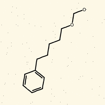 [O]COCCCCCc1ccccc1